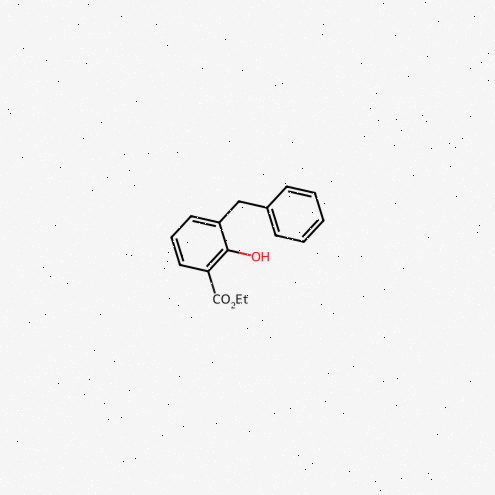 CCOC(=O)c1cccc(Cc2ccccc2)c1O